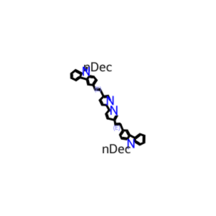 CCCCCCCCCCn1c2ccccc2c2cc(/C=C/c3ccc(-c4ccc(/C=C/c5ccc6c(c5)c5ccccc5n6CCCCCCCCCC)cn4)nc3)ccc21